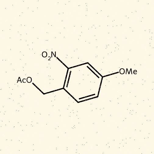 COc1ccc(COC(C)=O)c([N+](=O)[O-])c1